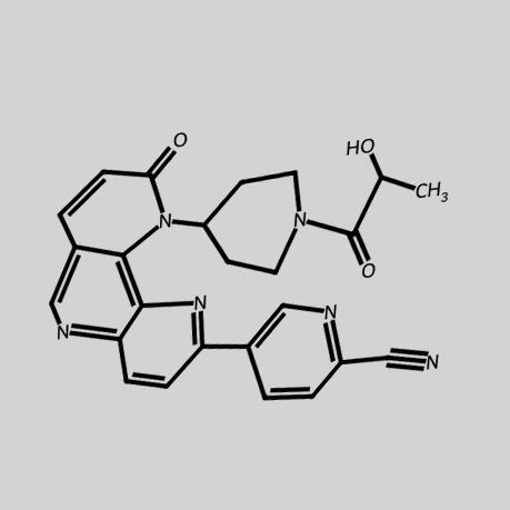 CC(O)C(=O)N1CCC(n2c(=O)ccc3cnc4ccc(-c5ccc(C#N)nc5)nc4c32)CC1